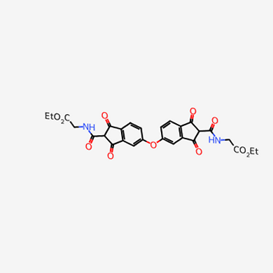 CCOC(=O)CNC(=O)C1C(=O)c2ccc(Oc3ccc4c(c3)C(=O)C(C(=O)NCC(=O)OCC)C4=O)cc2C1=O